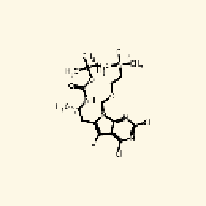 C[C@@H](Cc1c(F)c2c(Cl)nc(Cl)nc2n1COCC[Si](C)(C)C)NC(=O)OC(C)(C)C